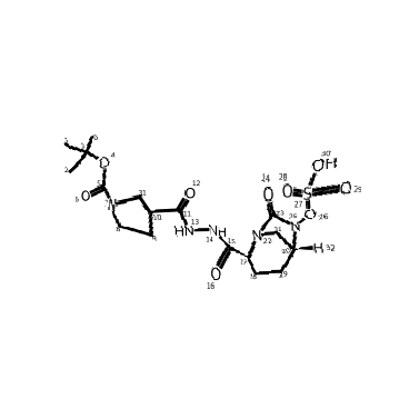 CC(C)(C)OC(=O)N1CCC(C(=O)NNC(=O)[C@@H]2CC[C@@H]3CN2C(=O)N3OS(=O)(=O)O)C1